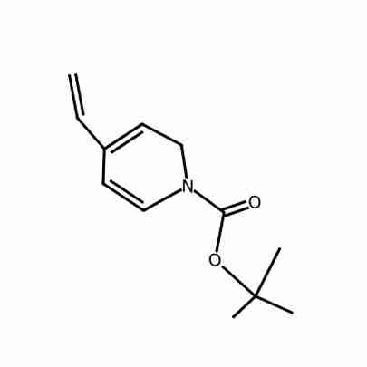 C=CC1=CCN(C(=O)OC(C)(C)C)C=C1